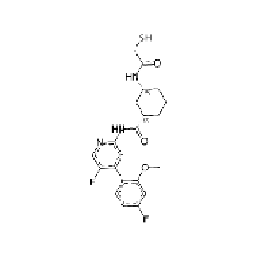 COc1cc(F)ccc1-c1cc(NC(=O)[C@H]2CCC[C@@H](NC(=O)CS)C2)ncc1F